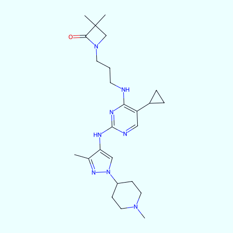 Cc1nn(C2CCN(C)CC2)cc1Nc1ncc(C2CC2)c(NCCCN2CC(C)(C)C2=O)n1